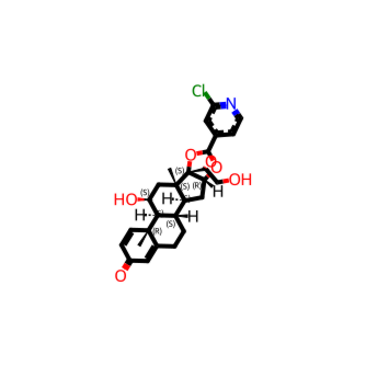 C[C@]12C=CC(=O)C=C1CC[C@@H]1[C@@H]2[C@@H](O)C[C@@]2(C)[C@H]1C[C@H]1OC(c3ccnc(Cl)c3)O[C@]12C(=O)CO